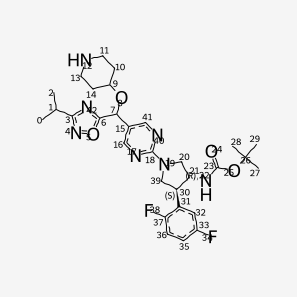 CC(C)c1noc(C(OC2CCNCC2)c2cnc(N3C[C@H](NC(=O)OC(C)(C)C)[C@@H](c4cc(F)ccc4F)C3)nc2)n1